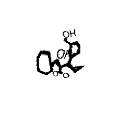 O=c1oc2c(c(O)c1C(c1cccc(CO)c1)C1CC1)CCCCCC2